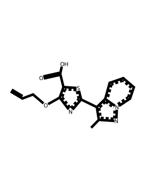 C=CCOc1nc(-c2c(C)nn3ccccc23)sc1C(=O)O